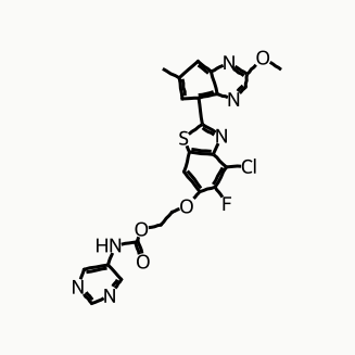 COc1cnc2c(-c3nc4c(Cl)c(F)c(OCCOC(=O)Nc5cncnc5)cc4s3)cc(C)cc2n1